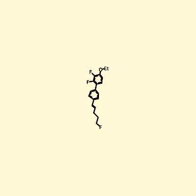 CCOc1ccc(-c2ccc(/C=C/CCCF)cc2)c(F)c1F